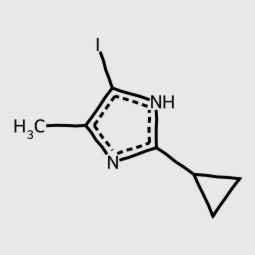 Cc1nc(C2CC2)[nH]c1I